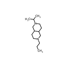 CCCN1CCC2CN(C(C)C)CCC2C1